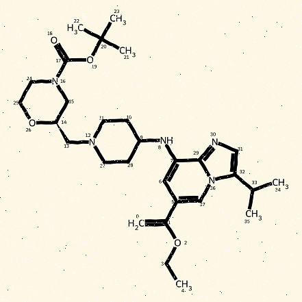 C=C(OCC)c1cc(NC2CCN(C[C@@H]3CN(C(=O)OC(C)(C)C)CCO3)CC2)c2ncc(C(C)C)n2c1